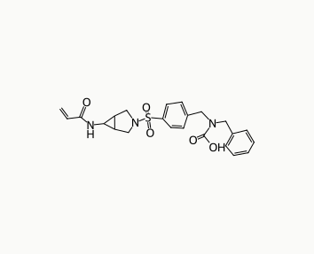 C=CC(=O)NC1C2CN(S(=O)(=O)c3ccc(CN(Cc4ccccc4)C(=O)O)cc3)CC21